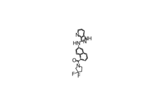 O=C(c1cccc2cc(Nc3n[nH]c4cccnc34)ccc12)N1CCC(F)(F)C1